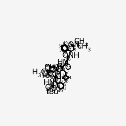 CN(C)C(=O)C[C@@H](NC(=O)CNC(=O)C(=O)[C@@H](CC1CCC1)NC(=O)[C@@H]1[C@@H]2[C@H](CN1C(=O)[C@@H](NC(=O)OC(C)(C)C)C1CCCCC1)C2(C)C)c1ccccc1